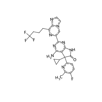 Cc1nc(C2(C3CC3)C(=O)Nc3nc(-c4cn5ccnc5c(CCCC(F)(F)F)n4)nc(N)c32)ccc1F